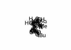 COC(=O)[C@@]1(CCN2CCOC[C@@]23CCN(C(=O)OC(C)(C)C)C3)C[C@H](O)[C@@H](NC(C)=O)[C@H]([C@@H]2OC(C)(C)O[C@@H]2CN=[N+]=[N-])O1